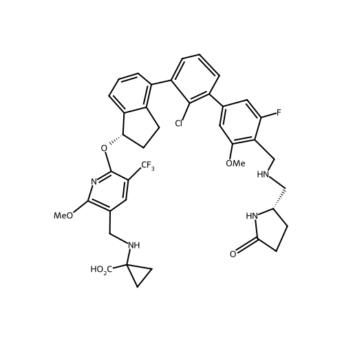 COc1cc(-c2cccc(-c3cccc4c3CC[C@@H]4Oc3nc(OC)c(CNC4(C(=O)O)CC4)cc3C(F)(F)F)c2Cl)cc(F)c1CNC[C@@H]1CCC(=O)N1